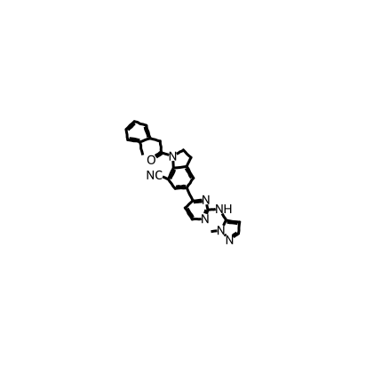 Cc1ccccc1CC(=O)N1CCc2cc(-c3ccnc(Nc4ccnn4C)n3)cc(C#N)c21